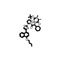 CCCCOc1ccc(-c2csc([C@@H]3CCCN3C(=O)[C@@H](NC(=O)[C@H](C)N(C)C(=O)OC(C)(C)C)C3CCCCC3)n2)c2ccccc12